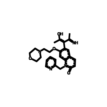 CC(=N)/C(=C(/C)O)c1cc2ccc(=O)n(Cc3ccccn3)c2cc1OCCN1CCOCC1